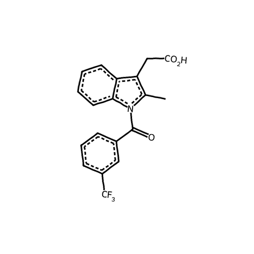 Cc1c(CC(=O)O)c2ccccc2n1C(=O)c1cccc(C(F)(F)F)c1